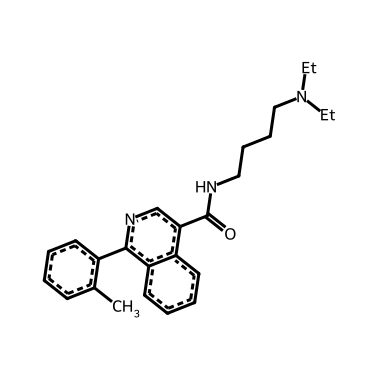 CCN(CC)CCCCNC(=O)c1cnc(-c2ccccc2C)c2ccccc12